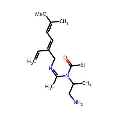 C=C/C(=C\C=C(/C)OC)C/N=C(/C)N(C(=O)CC)C(C)CN